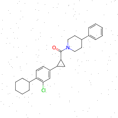 O=C(C1CC1c1ccc(C2CCCCC2)c(Cl)c1)N1CCC(c2ccccc2)CC1